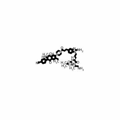 CCc1cc2c(cc1N1CCN(C(=O)CCc3ccc4c(c3)nc(N)n4CCC[C@H](NC(=O)OC(C)(C)C)C(=O)N[C@H](C)CN)CC1)C(C)(C)c1[nH]c3cc(C#N)ccc3c1C2=O